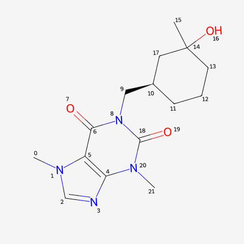 Cn1cnc2c1c(=O)n(C[C@@H]1CCCC(C)(O)C1)c(=O)n2C